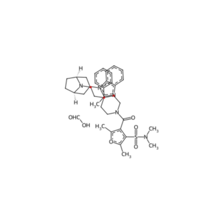 Cc1oc(C)c(S(=O)(=O)N(C)C)c1C(=O)N1CCC(CCN2[C@@H]3CC[C@H]2CC(n2c(C)nc4ccccc42)C3)(c2ccccc2)CC1.O=CO